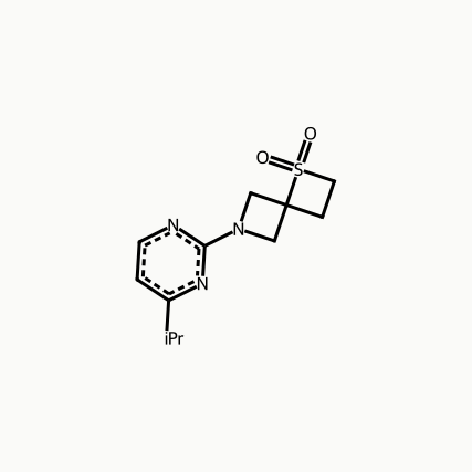 CC(C)c1ccnc(N2CC3(CCS3(=O)=O)C2)n1